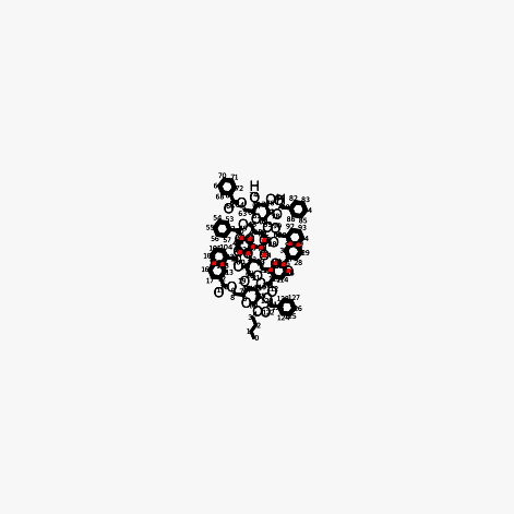 CCCCO[C@@H]1OC(COC(=O)c2ccccc2)[C@@H](O[C@@H]2OC(COC(=O)c3ccccc3)[C@H](OC(=O)c3ccccc3)C(O[C@@H]3OC(COC(=O)c4ccccc4)[C@@H](O[C@@H]4OC(COC(=O)c5ccccc5)[C@H](O)C(O)[C@@H]4OC(=O)c4ccccc4)C(OC(=O)c4ccccc4)[C@@H]3C)[C@@H]2OC(=O)c2ccccc2)C(OC(=O)c2ccccc2)[C@@H]1OC(=O)c1ccccc1